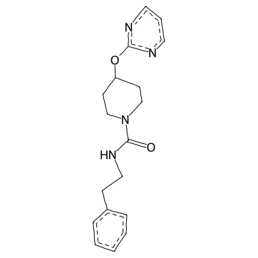 O=C(NCCc1ccccc1)N1CCC(Oc2ncccn2)CC1